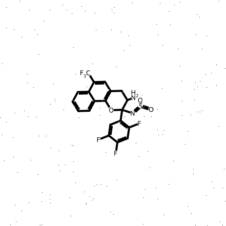 NC1Cc2cc(C(F)(F)F)c3ccccc3c2OC1(N=S(=O)=O)c1cc(F)c(F)cc1F